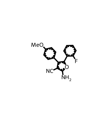 COc1ccc(-c2c(-c3ccccc3F)oc(N)c2C#N)cc1